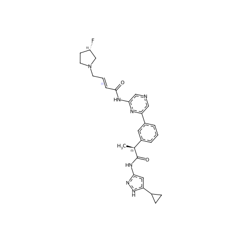 C[C@H](C(=O)Nc1cc(C2CC2)[nH]n1)c1cccc(-c2cncc(NC(=O)/C=C/CN3CC[C@H](F)C3)n2)c1